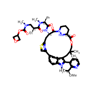 CC[C@@H](CN(C)C(=O)OC1COC1)C(=O)N(C)[C@H](C(=O)N[C@H]1Cc2nc(cs2)-c2ccc3c(c2)c(c(-c2cccnc2[C@H](C)OC)n3CC)CC(C)(C)COC(=O)[C@@H]2CCCN(N2)C1=O)C(C)C